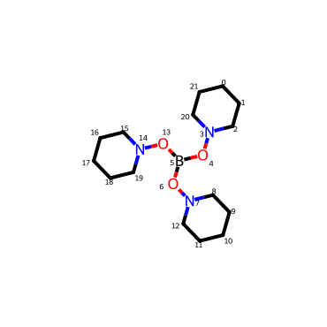 C1CCN(OB(ON2CCCCC2)ON2CCCCC2)CC1